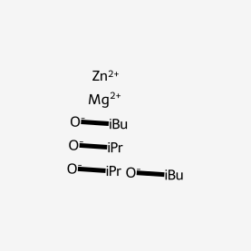 CC(C)[O-].CC(C)[O-].CCC(C)[O-].CCC(C)[O-].[Mg+2].[Zn+2]